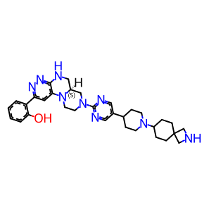 Oc1ccccc1-c1cc2c(nn1)NC[C@H]1CN(c3ncc(C4CCN(C5CCC6(CC5)CNC6)CC4)cn3)CCN21